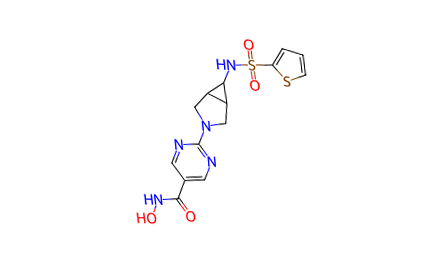 O=C(NO)c1cnc(N2CC3C(C2)C3NS(=O)(=O)c2cccs2)nc1